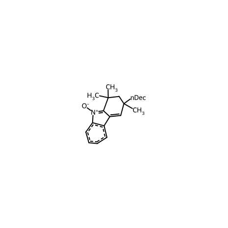 CCCCCCCCCCC1(C)C=C2C(=[N+]([O-])c3ccccc32)C(C)(C)C1